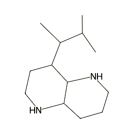 CC(C)C(C)C1CCNC2CCCNC21